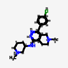 CC(=O)N1CCc2c(NC3CCCN(C)C3)nnc(-c3ccc(Cl)cc3)c2C1